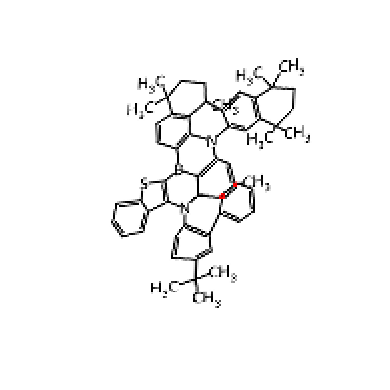 CC1=CC2=C3B(c4ccc5c6c4N2c2cc4c(cc2C6(C)CCC5(C)C)C(C)(C)CCC4(C)C)c2sc4ccccc4c2N(c2ccc(C(C)(C)C)cc2-c2ccccc2)C3C1